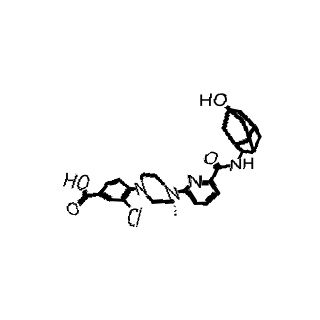 C[C@@H]1CN(c2ccc(C(=O)O)cc2Cl)CCN1c1cccc(C(=O)NC2C3CC4CC2CC(O)(C4)C3)n1